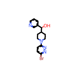 O[C@H](c1cccnc1)C1CCN(c2ccc(Br)nn2)CC1